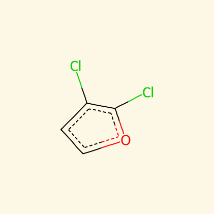 Clc1ccoc1Cl